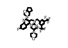 CCN(CC1CCCC1)c1nc2cc(F)ccc2cc1CN(Cc1cc(C(F)(F)F)cc(C(F)(F)F)c1)c1ncc(N2CCOCC2)cn1